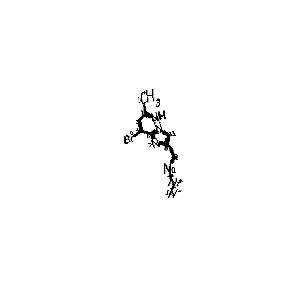 CC(=N)/C=C(/Br)c1nc(CN=[N+]=[N-])c[nH]1